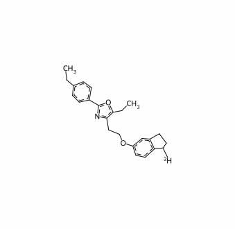 [2H]C1CCc2cc(OCCc3nc(-c4ccc(CC)cc4)oc3CC)ccc21